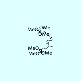 CO[Si](CCC(C)SSC(C)CC[Si](OC)(OC)OC)(OC)OC